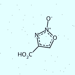 O=C(O)c1co[n+]([O-])n1